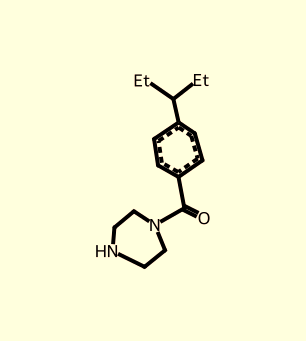 CCC(CC)c1ccc(C(=O)N2CCNCC2)cc1